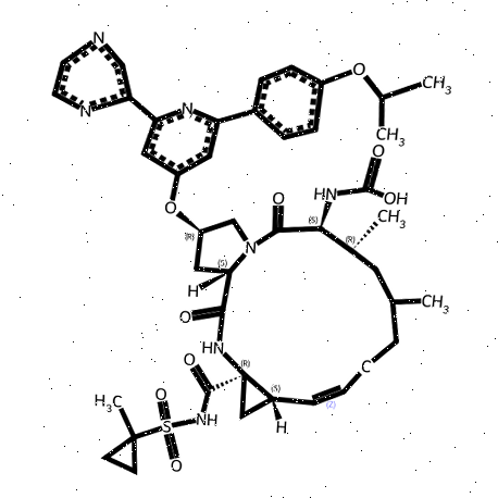 CC1CC/C=C\[C@@H]2C[C@@]2(C(=O)NS(=O)(=O)C2(C)CC2)NC(=O)[C@@H]2C[C@@H](Oc3cc(-c4ccc(OC(C)C)cc4)nc(-c4cnccn4)c3)CN2C(=O)[C@@H](NC(=O)O)[C@H](C)C1